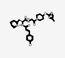 Cc1cnc(OC2CCN(C(=O)CNC(=O)[C@H](Cc3ccccn3)NC(=O)C=Cc3ccc(Cl)cc3)CC2)s1